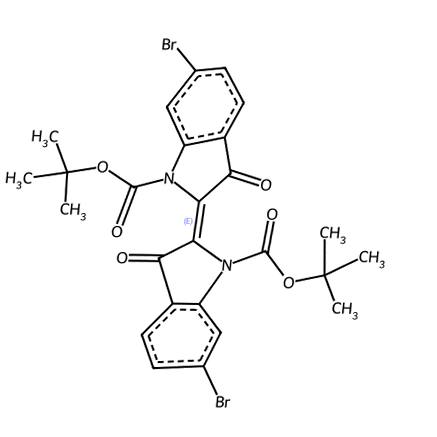 CC(C)(C)OC(=O)N1/C(=C2\C(=O)c3ccc(Br)cc3N2C(=O)OC(C)(C)C)C(=O)c2ccc(Br)cc21